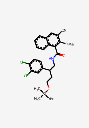 COc1c(C#N)cc2ccccc2c1C(=O)NCC(CCO[Si](C)(C)C(C)(C)C)c1ccc(Cl)c(Cl)c1